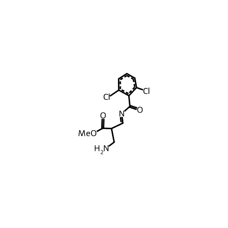 COC(=O)C(C=NC(=O)c1c(Cl)cccc1Cl)CN